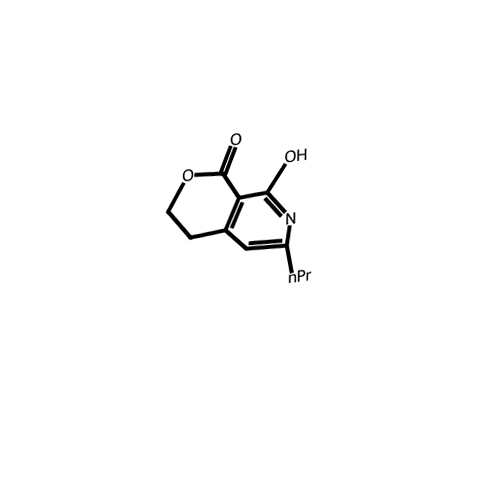 CCCc1cc2c(c(O)n1)C(=O)OCC2